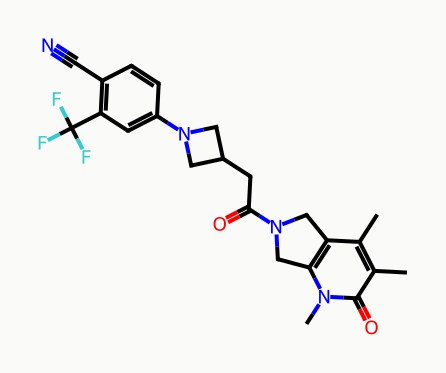 Cc1c2c(n(C)c(=O)c1C)CN(C(=O)CC1CN(c3ccc(C#N)c(C(F)(F)F)c3)C1)C2